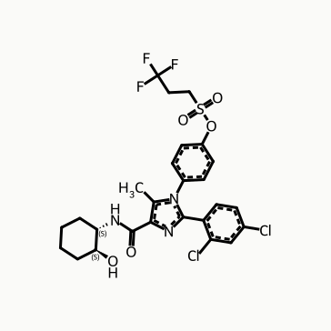 Cc1c(C(=O)N[C@H]2CCCC[C@@H]2O)nc(-c2ccc(Cl)cc2Cl)n1-c1ccc(OS(=O)(=O)CCC(F)(F)F)cc1